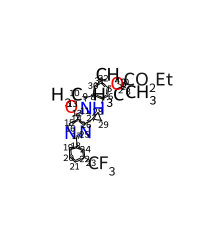 CCOC(=O)C(C)(C)Oc1ccc(C(C)NC(=O)c2cnc(-c3cccc(C(F)(F)F)c3)nc2C2CC2)cc1C